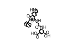 O=C(CCNC(=O)c1cc2cc[nH]c2cc1C(=O)NCC12CC3CC(CC(C3)C1)C2)Nc1cc(C(=O)O)cc(C(=O)O)c1